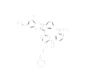 CCOc1cc(F)c(Cn2nc(-c3ncc(OCCCN4CCOCC4)c(Nc4ccnc(NC(C)=O)c4)n3)c3ccccc32)c(F)c1